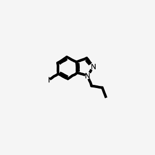 CCCn1ncc2ccc(I)cc21